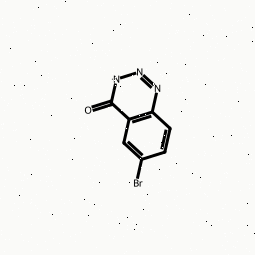 O=C1[N]N=Nc2ccc(Br)cc21